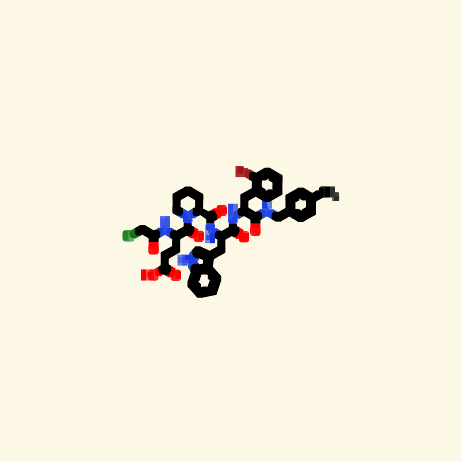 Cc1ccc(CNC(=O)C(Cc2ccccc2Br)NC(=O)C(Cc2c[nH]c3ccccc23)NC(=O)[C@@H]2CCCCN2C(=O)C(CCC(=O)O)NC(=O)CCl)cc1